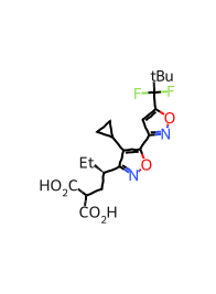 CC[C@H](CC(C(=O)O)C(=O)O)c1noc(-c2cc(C(F)(F)C(C)(C)C)on2)c1C1CC1